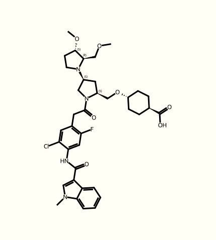 COC[C@@H]1[C@@H](OC)CCN1[C@H]1C[C@@H](CO[C@H]2CC[C@H](C(=O)O)CC2)N(C(=O)Cc2cc(Cl)c(NC(=O)c3cn(C)c4ccccc34)cc2F)C1